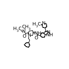 CCN(CC)C(=O)[C@@H]1CC[C@@H](NC(=O)c2ccc3[nH]nc(-c4ccnc(C)c4)c3c2)CN1CCc1ccccc1